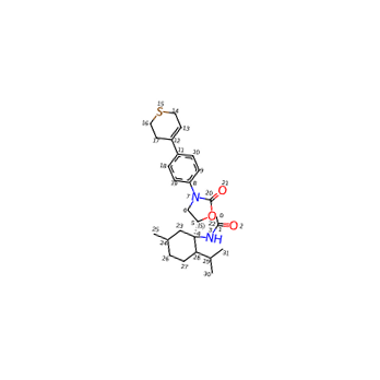 CC(=O)NC1([C@@H]2CN(c3ccc(C4=CCSCC4)cc3)C(=O)O2)CC(C)CCC1C(C)C